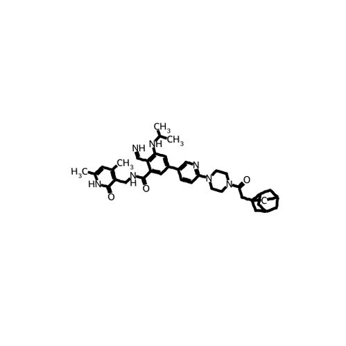 Cc1cc(C)c(CNC(=O)c2cc(-c3ccc(N4CCN(C(=O)CC56CC7CC(CC5C7)C6)CC4)nc3)cc(NC(C)C)c2C=N)c(=O)[nH]1